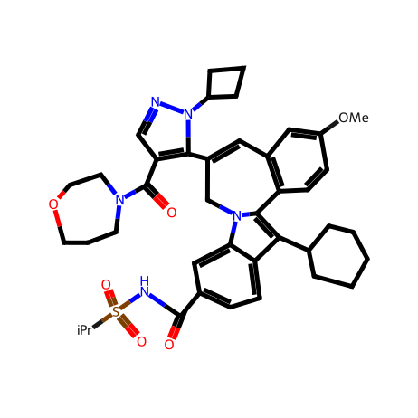 COc1ccc2c(c1)C=C(c1c(C(=O)N3CCCOCC3)cnn1C1CCC1)Cn1c-2c(C2CCCCC2)c2ccc(C(=O)NS(=O)(=O)C(C)C)cc21